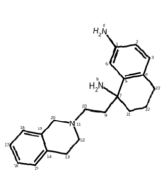 Nc1ccc2c(c1)C(N)(CCN1CCc3ccccc3C1)CCC2